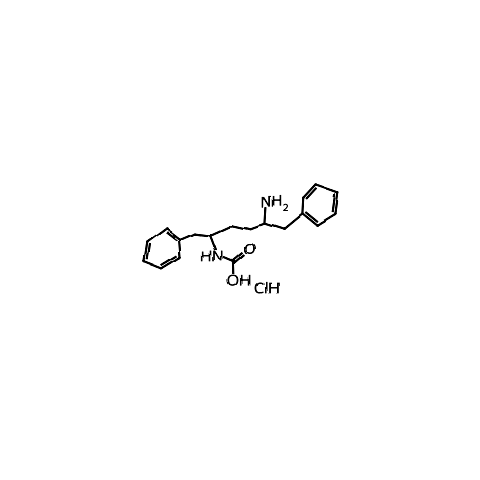 Cl.NC(CCC(Cc1ccccc1)NC(=O)O)Cc1ccccc1